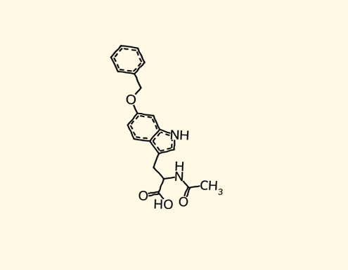 CC(=O)NC(Cc1c[nH]c2cc(OCc3ccccc3)ccc12)C(=O)O